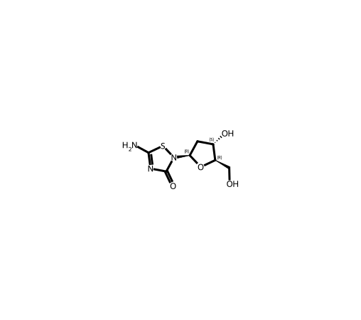 Nc1nc(=O)n([C@H]2C[C@H](O)[C@@H](CO)O2)s1